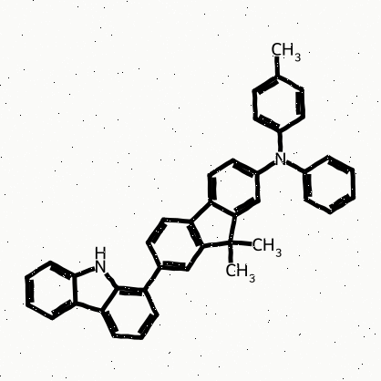 Cc1ccc(N(c2ccccc2)c2ccc3c(c2)C(C)(C)c2cc(-c4cccc5c4[nH]c4ccccc45)ccc2-3)cc1